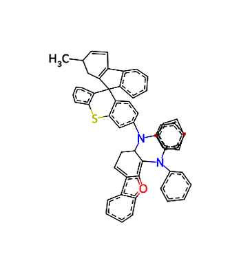 CC1C=CC2=C(C1)C1(c3ccccc3Sc3cc(N(c4ccccc4)C4CC=c5c(oc6ccccc56)=C4N(c4ccccc4)c4ccccc4)ccc31)c1ccccc12